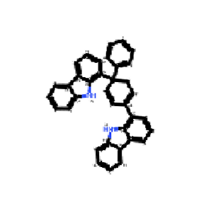 C1=CC(c2ccccc2)(c2cccc3c2[nH]c2ccccc23)CC=C1c1cccc2c1[nH]c1ccccc12